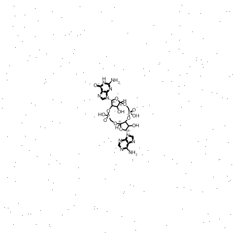 Nc1nc2c(ncn2[C@@H]2O[C@@H]3OCP(=O)(O)OC4C(O)[C@H](n5cnc6c(N)ncnc65)O[C@@H]4OCP(=O)(O)OC2C3O)c(=O)[nH]1